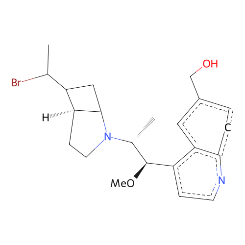 CO[C@H](c1ccnc2ccc(CO)cc12)[C@@H](C)N1CC[C@H]2C(C(C)Br)CC21